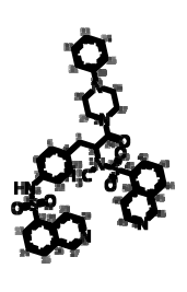 CN(C(Cc1ccc(NS(=O)(=O)c2cccc3cnccc23)cc1)C(=O)N1CCN(c2ccccc2)CC1)S(=O)(=O)c1cccc2cnccc12